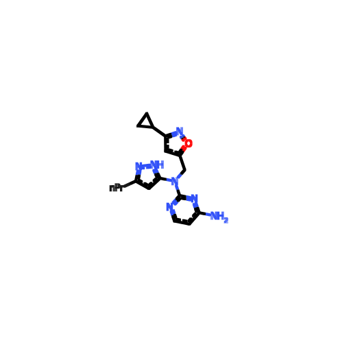 CCCc1cc(N(Cc2cc(C3CC3)no2)c2nccc(N)n2)[nH]n1